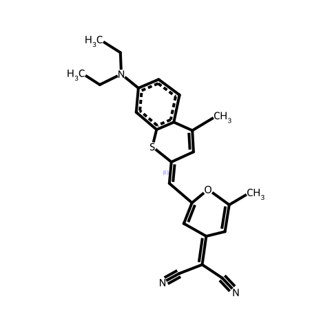 CCN(CC)c1ccc2c(c1)S/C(=C/C1=CC(=C(C#N)C#N)C=C(C)O1)C=C2C